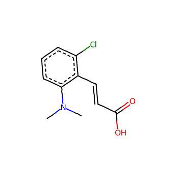 CN(C)c1cccc(Cl)c1C=CC(=O)O